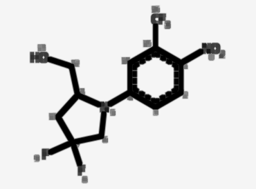 O=[N+]([O-])c1ccc(N2CC(F)(F)CC2CO)cc1C(F)(F)F